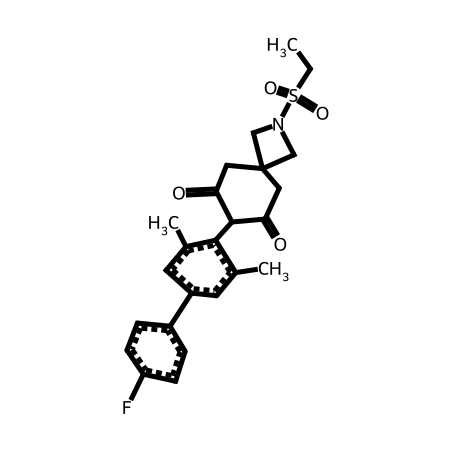 CCS(=O)(=O)N1CC2(CC(=O)C(c3c(C)cc(-c4ccc(F)cc4)cc3C)C(=O)C2)C1